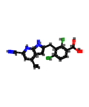 Cc1cc(C#N)nc2[nH]c(Cc3c(Cl)ccc(C(=O)O)c3Cl)cc12